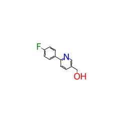 OCc1ccc(-c2ccc(F)cc2)nc1